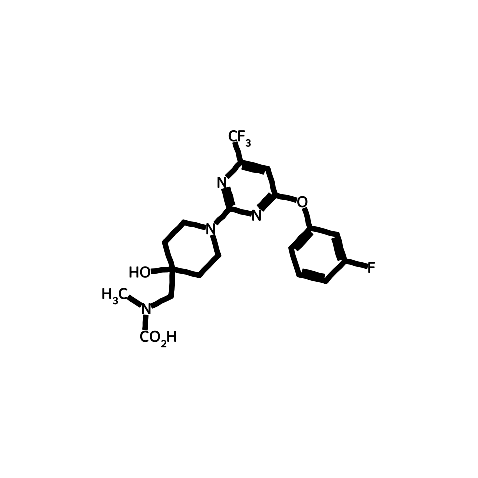 CN(CC1(O)CCN(c2nc(Oc3cccc(F)c3)cc(C(F)(F)F)n2)CC1)C(=O)O